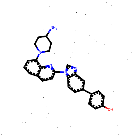 NC1CCN(c2cccc3ccc(-n4cnc5cc(-c6ccc(O)cc6)ccc54)nc23)CC1